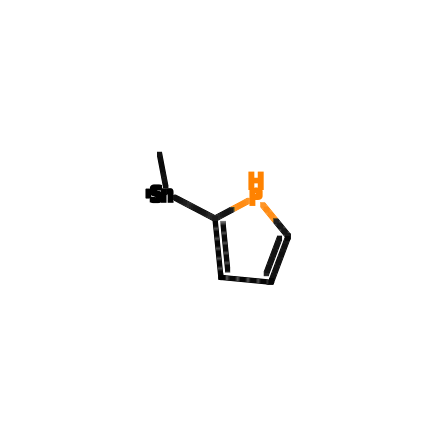 [CH3][Sn][c]1ccc[pH]1